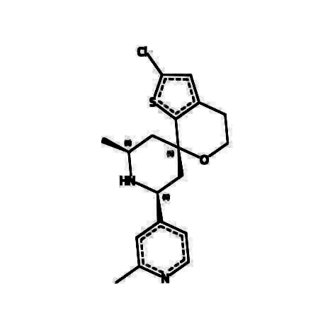 Cc1cc([C@@H]2C[C@]3(C[C@H](C)N2)OCCc2cc(Cl)sc23)ccn1